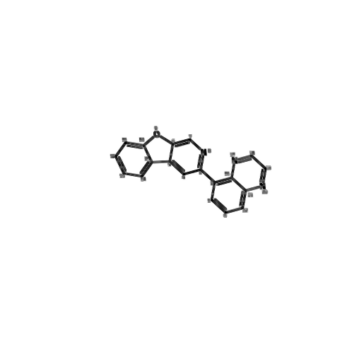 c1cc(-c2cc3c(cn2)oc2ccccc23)c2nccnc2c1